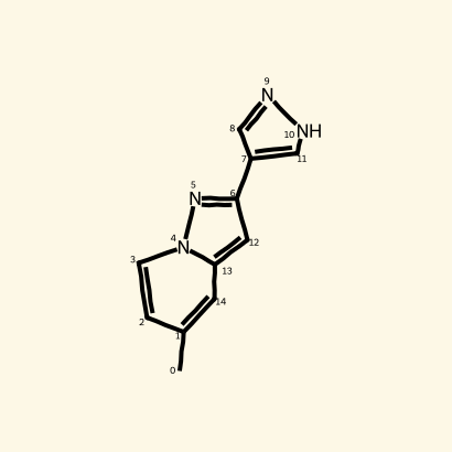 Cc1ccn2nc(-c3cn[nH]c3)cc2c1